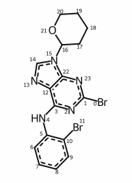 Brc1nc(Nc2ccccc2Br)c2ncn(C3CCCCO3)c2n1